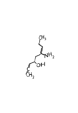 C=C=CC(O)C/C(N)=C\CC